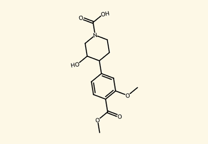 COC(=O)c1ccc(C2CCN(C(=O)O)CC2O)cc1OC